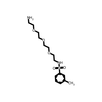 Cc1cccc(S(=O)(=O)NCCOCCOCCOCCN)c1